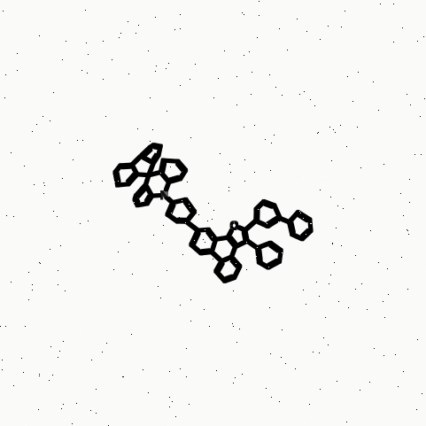 c1ccc(-c2cccc(-c3oc4c5cc(-c6ccc(N7c8ccccc8C8(c9ccccc9-c9ccccc98)c8ccccc87)cc6)ccc5c5ccccc5c4c3-c3ccccc3)c2)cc1